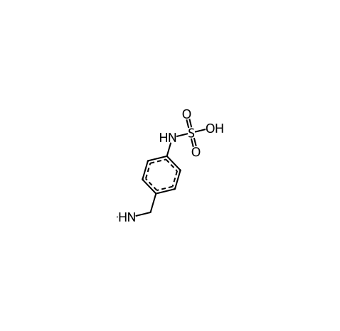 [NH]Cc1ccc(NS(=O)(=O)O)cc1